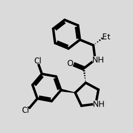 CC[C@H](NC(=O)[C@@H]1CNC[C@H]1c1cc(Cl)cc(Cl)c1)c1ccccc1